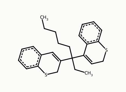 CCCCCC(CC)(C1=Cc2ccccc2SC1)C1=CCSc2ccccc21